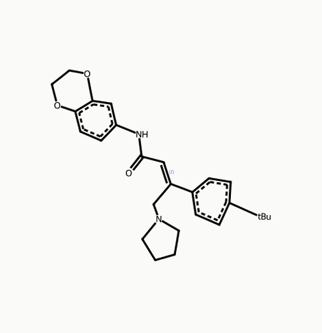 CC(C)(C)c1ccc(/C(=C/C(=O)Nc2ccc3c(c2)OCCO3)CN2CCCC2)cc1